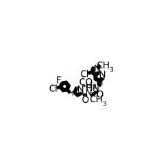 C[C@H](NC(=O)[C@H]1C[C@H](Cc2ccc(F)c(Cl)c2)CN1CC(=O)O)C(=O)NCc1cnc2c(c1)c(Cl)cn2C